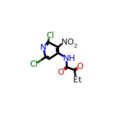 CCC(=O)C(=O)Nc1cc(Cl)nc(Cl)c1[N+](=O)[O-]